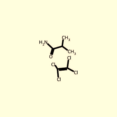 CC(C)C(N)=O.ClC(Cl)=C(Cl)Cl